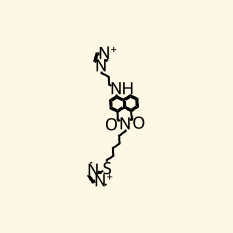 Cn1cc[n+](C)c1SCCCCCCN1C(=O)c2cccc3c(NCCCn4cc[n+](C)c4)ccc(c23)C1=O